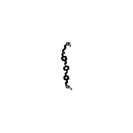 CC=CCOCc1ccc(CC[C@H]2CC[C@H](CCc3ccc(C=CC)cc3)CC2)cc1